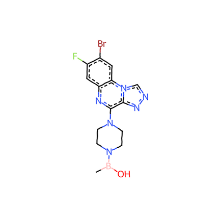 CB(O)N1CCN(c2nc3cc(F)c(Br)cc3n3cnnc23)CC1